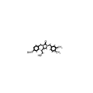 COc1ccc(CN2C(=O)N(Cc3ccc(C)c(C)c3)CC2CCO)cc1